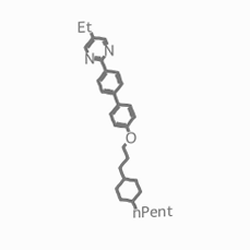 CCCCCC1CCC(CCCOc2ccc(-c3ccc(-c4ncc(CC)cn4)cc3)cc2)CC1